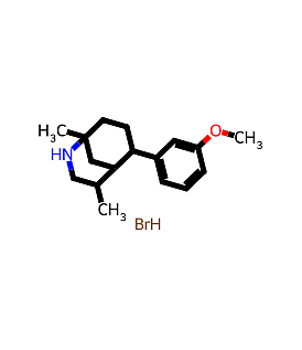 Br.COc1cccc(C2CCC3(C)CC2C(C)CN3)c1